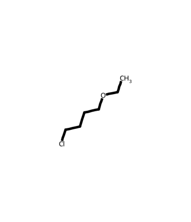 CCOCCCCCl